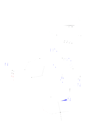 CC1(C)COCC[C@H]1Nc1ncc2nc(Nc3c(Cl)cc(Cl)cc3Cl)n([C@H]3CC[C@@H](C(N)=O)CC3)c2n1